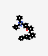 Cc1cc(-c2ccccc2)ccc1-c1ccccc1Cc1cccc2c1oc1cc(-c3nc(-c4ccccc4)nc(-c4ccccc4)n3)ccc12